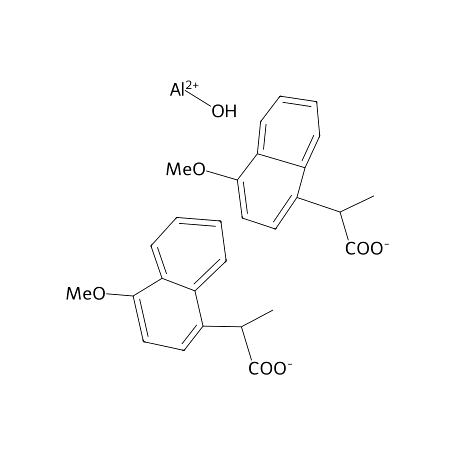 COc1ccc(C(C)C(=O)[O-])c2ccccc12.COc1ccc(C(C)C(=O)[O-])c2ccccc12.[OH][Al+2]